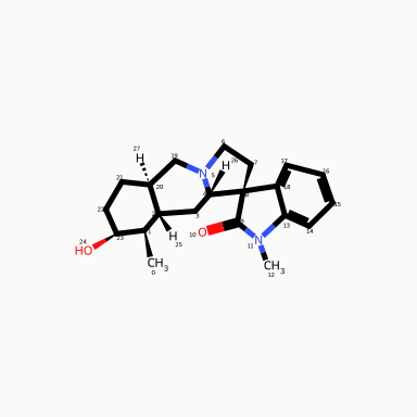 C[C@@H]1[C@H]2C[C@@H]3N(CC[C@@]34C(=O)N(C)c3ccccc34)C[C@@H]2CC[C@@H]1O